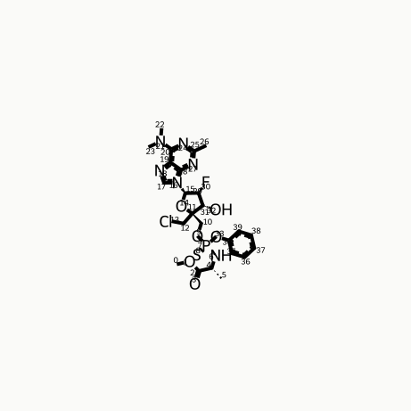 COC(=O)[C@@H](C)N[P@](=S)(OC[C@@]1(CCl)O[C@@H](n2cnc3c(N(C)C)nc(C)nc32)[C@@H](F)[C@@H]1O)Oc1ccccc1